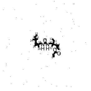 C=CC(=O)OC1(C)CC1C(C)(CC)CNC(=O)NCC1(C)CC1C(C)(C)CC